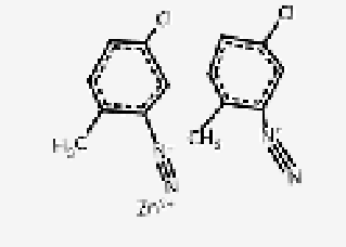 Cc1ccc(Cl)cc1[N+]#N.Cc1ccc(Cl)cc1[N+]#N.[Zn+2]